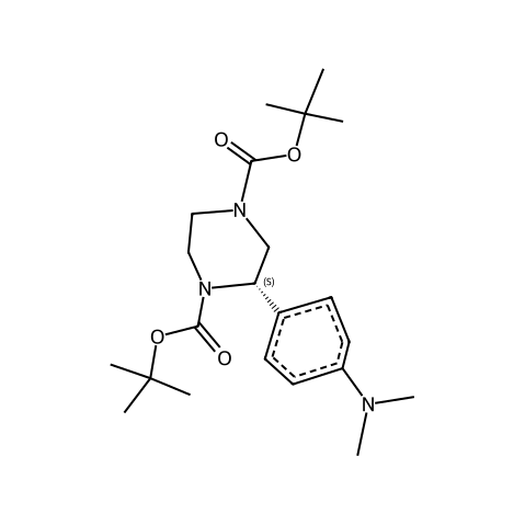 CN(C)c1ccc([C@H]2CN(C(=O)OC(C)(C)C)CCN2C(=O)OC(C)(C)C)cc1